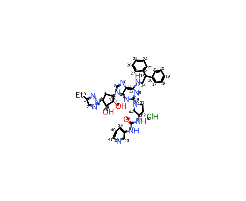 CCc1cnn([C@H]2C[C@@H](n3cnc4c(NCC(c5ccccc5)c5ccccc5)nc(N5CCC(NC(=O)Nc6cccnc6)C5)nc43)[C@H](O)[C@@H]2O)n1.Cl